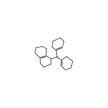 C1=C(N(C2=CCCCC2)C2CCCC3=C2CCCC3)CCCC1